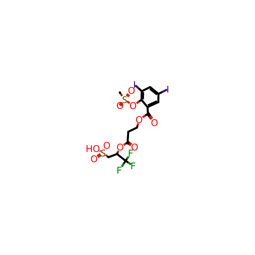 CS(=O)(=O)Oc1c(I)cc(I)cc1C(=O)OCCC(=O)OC(CS(=O)(=O)O)C(F)(F)F